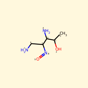 CC(O)C(N)C(CN)N=O